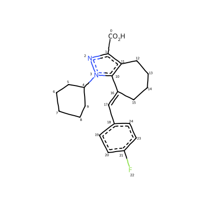 O=C(O)c1nn(C2CCCCC2)c2c1CCCCC2=Cc1ccc(F)cc1